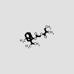 CCC(C)C(=O)OCC(=O)OC1C2CC3CC(C)(C2)CC1(C(C)C)C3